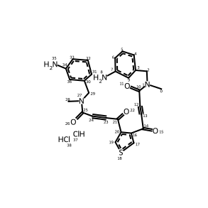 CN(Cc1cccc(N)c1)C(=O)C#CC(=O)c1cscc1C(=O)C#CC(=O)N(C)Cc1cccc(N)c1.Cl.Cl